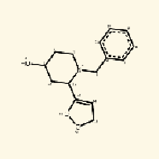 OC1CCN(Cc2ccccc2)C(C2=CCOO2)C1